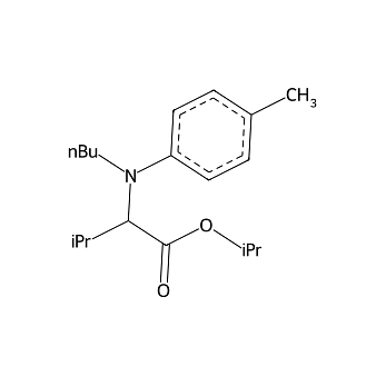 CCCCN(c1ccc(C)cc1)C(C(=O)OC(C)C)C(C)C